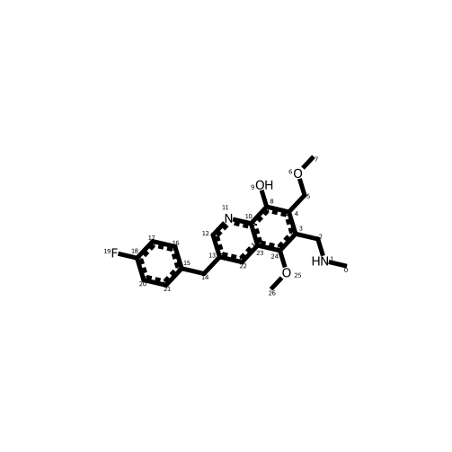 CNCc1c(COC)c(O)c2ncc(Cc3ccc(F)cc3)cc2c1OC